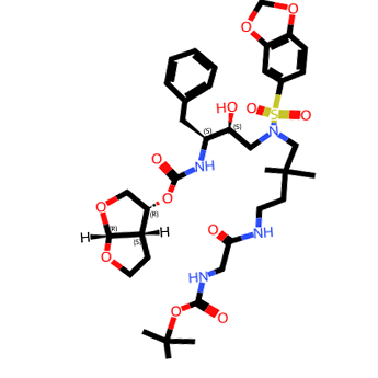 CC(C)(CCNC(=O)CNC(=O)OC(C)(C)C)CN(C[C@H](O)[C@H](Cc1ccccc1)NC(=O)O[C@H]1CO[C@H]2OCC[C@H]21)S(=O)(=O)c1ccc2c(c1)OCO2